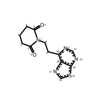 O=C1CCCC(=O)N1CCc1ncnc2scnc12